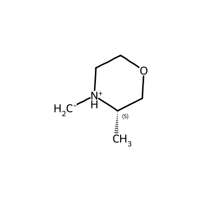 [CH2-][NH+]1CCOC[C@@H]1C